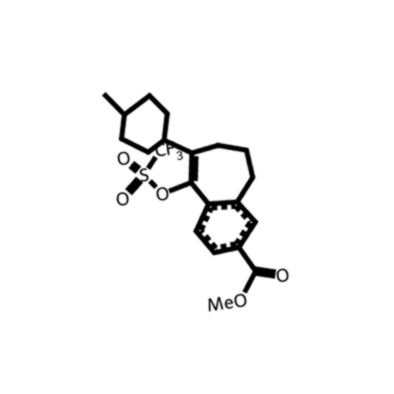 COC(=O)c1ccc2c(c1)CCCC(C1CCC(C)CC1)=C2OS(=O)(=O)C(F)(F)F